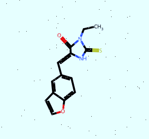 CCN1C(=O)C(=Cc2ccc3occc3c2)NC1=S